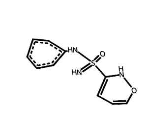 N=S(=O)(Nc1ccccc1)C1=CC=CON1